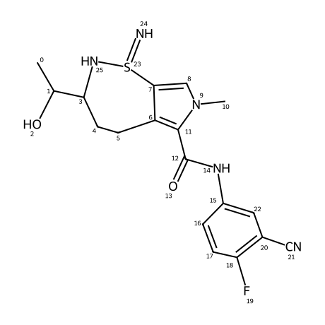 CC(O)C1CCc2c(cn(C)c2C(=O)Nc2ccc(F)c(C#N)c2)S(=N)N1